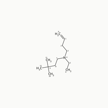 C=CCCN(CC)CCC(C)(C)C